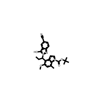 CCC(c1c(OC)cc(C)c2c1ccn2C(=O)OC(C)(C)C)n1nc2ccc(C#N)cc2c1O